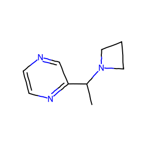 CC(c1cnccn1)N1CCC1